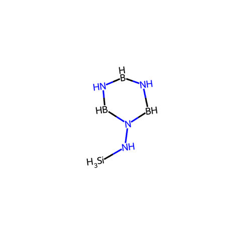 [SiH3]NN1BNBNB1